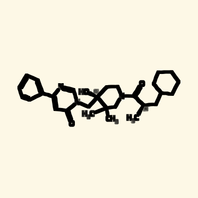 C[C@H](CC1CCCCC1)C(=O)N1CC[C@@](O)(Cn2cnc(-c3ccccc3)cc2=O)C(C)(C)C1